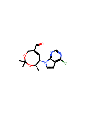 C[C@H]1OC(C)(C)OC/C(C=O)=C\[C@H]1n1ccc2c(Cl)ncnc21